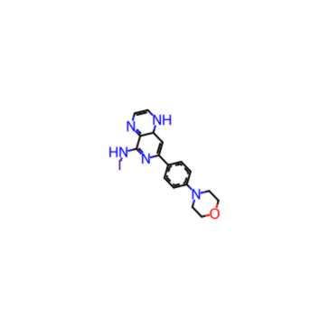 INC1=NC(c2ccc(N3CCOCC3)cc2)=CC2NC=CN=C12